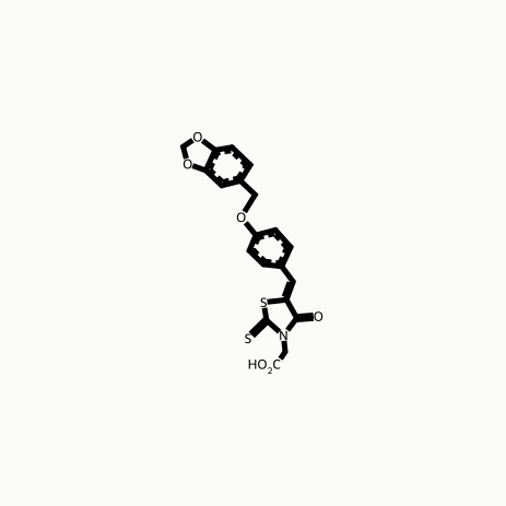 O=C(O)CN1C(=O)C(=Cc2ccc(OCc3ccc4c(c3)OCO4)cc2)SC1=S